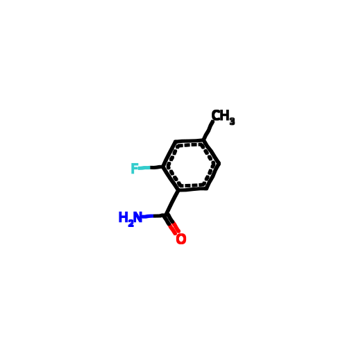 Cc1ccc(C(N)=O)c(F)c1